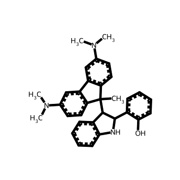 CN(C)c1ccc2c(c1)-c1cc(N(C)C)ccc1C2(C)C1c2ccccc2NC1c1ccccc1O